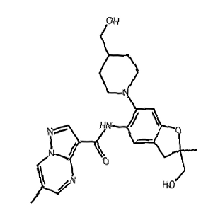 Cc1cnc2c(C(=O)Nc3cc4c(cc3N3CCC(CO)CC3)OC(C)(CO)C4)cnn2c1